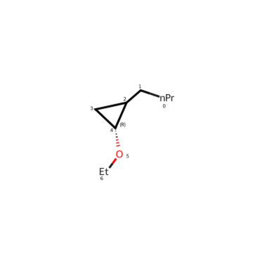 CCCCC1C[C@H]1OCC